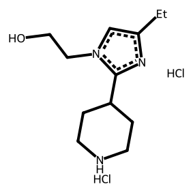 CCc1cn(CCO)c(C2CCNCC2)n1.Cl.Cl